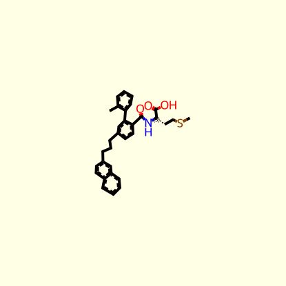 CSCC[C@H](NC(=O)c1ccc(CCCc2ccc3ccccc3c2)cc1-c1ccccc1C)C(=O)O